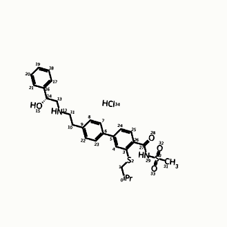 CC(C)CSc1cc(-c2ccc(CCNC[C@H](O)c3ccccc3)cc2)ccc1C(=O)NS(C)(=O)=O.Cl